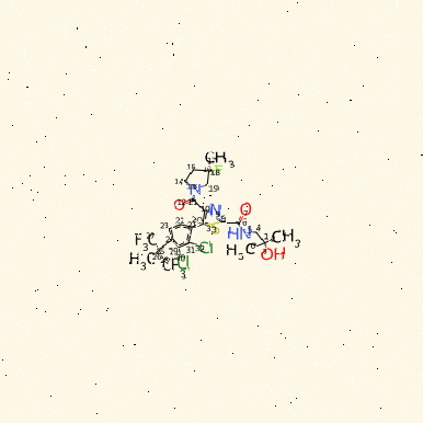 CC(C)(O)CNC(=O)c1nc(C(=O)N2CC[C@@](C)(F)C2)c(-c2ccc(C(C)(C(F)(F)F)C(F)(F)F)c(Cl)c2Cl)s1